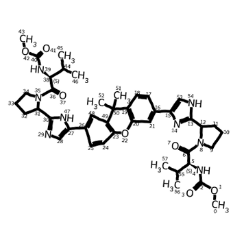 COC(=O)N[C@H](C(=O)N1CCCC1c1nc(-c2ccc3c(c2)Oc2ccc(-c4cnc(C5CCCN5C(=O)[C@@H](NC(=O)OC)C(C)C)[nH]4)cc2C3(C)C)c[nH]1)C(C)C